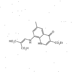 CCOC(=O)c1c[nH]c2c(NC=C(C(=O)O)C(=O)O)cc(C)cc2c1=O